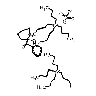 CCCC[N+](CCCC)(CCCC)CCCC.CCCC[N+](CCCC)(CCCC)CCCC.O=C(c1ccccc1)C1(O)CCCCC1.O=S(=O)([O-])[O-]